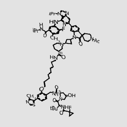 CC(=O)N1CCC2(CC1)C(=O)N(C1CC(N3CCC[C@@H](C(=O)NCCCCCCCCCOc4cc(-c5scnc5C)ccc4CNC(=O)[C@@H]4C[C@@H](O)CN4C(=O)[C@@H](NC(=O)C4(F)CC4)C(C)(C)C)C3)C1)c1cc(-c3cc4ncn(C(C)C)c4c(Nc4cc(C(=O)NC(C)C)c(C)cc4F)n3)ccc12